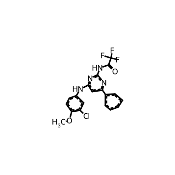 COc1ccc(Nc2cc(-c3ccccc3)nc(NC(=O)C(F)(F)F)n2)cc1Cl